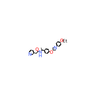 CCOc1ccc(N2CC(Oc3ccc([C@H](C)NC(=O)Cc4cccnc4)cc3)C2)cc1